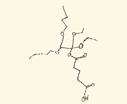 CCCCOC(OCCCC)C(OCC)(OCC)OC(=O)CCCC(=O)O